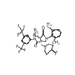 Cc1cccc(C)c1N1C[C@@](CN2CCC(F)CC2)(C(=O)Nc2cc(C(F)(F)F)cc(C(F)(F)F)c2)C(C)C1=O